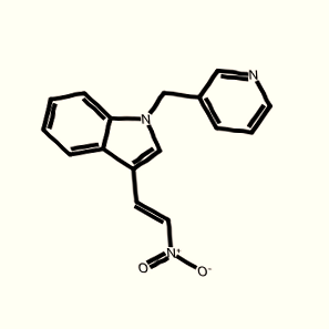 O=[N+]([O-])C=Cc1cn(Cc2cccnc2)c2ccccc12